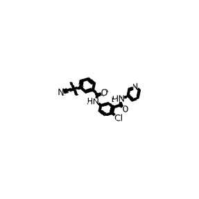 CC(C)(C#N)c1cccc(C(=O)Nc2ccc(Cl)c(C(=O)Nc3cccnc3)c2)c1